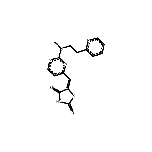 CN(CCc1ccccn1)c1nccc(C=C2SC(=O)NC2=O)n1